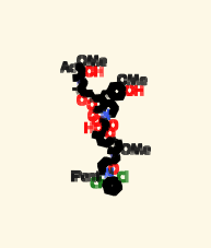 CCC[C@H](C)C1C=CC(/C=C(\C)[C@H](C[C@@H]2CCC(C)C(O)(C(=O)C(=O)N3CCCC4C3C(=O)O[C@@H](CC(=O)[C@H](C)/C=C(\C)C(O)[C@@H](OC)C(C)=O)[C@H]4C[C@@H]3CCC(O)[C@H](OC)C3)O2)OC)ON1c1c(Cl)cccc1Cl